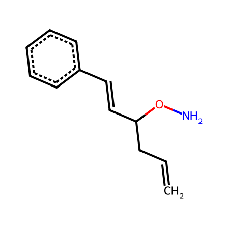 C=CCC(C=Cc1ccccc1)ON